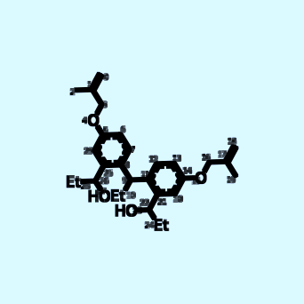 C=C(C)COc1ccc(C(CC)c2ccc(OCC(=C)C)cc2C(O)CC)c(C(O)CC)c1